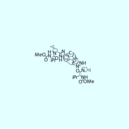 COC(=O)N[C@H](C(=O)N1CC2(CC2)C[C@H]1c1nc2cc(-c3cc4ccc3CCc3ccc(c(-c5ccc6[nH]c([C@@H]7CC8(CC8)CN7C(=O)[C@@H](NC(=O)OC)C(C)C)nc6c5)c3)CC4)ccc2[nH]1)C(C)C